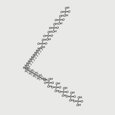 N.N.N.N.N.N.N.N.N.N.N.N.N.N.N.N.N.N.N.N.O=S(=O)(O)O.O=S(=O)(O)O.O=S(=O)(O)O.O=S(=O)(O)O.O=S(=O)(O)O.O=S(=O)(O)O.O=S(=O)(O)O.O=S(=O)(O)O.O=S(=O)(O)O.O=S(=O)(O)O